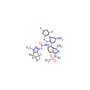 CC(=O)N(c1nn(C)c2c(-c3cc(N)cnc3[C@H](Cc3cc(F)cc(F)c3)NC(=O)Cn3nc(C(F)(F)F)c4c3C(F)(F)[C@@H]3C[C@H]43)cccc12)S(C)(=O)=O